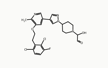 Cc1ncc(-c2cnn(C3CCN(C(O)C=O)CC3)c2)cc1OCCc1c(Cl)ccc(F)c1Cl